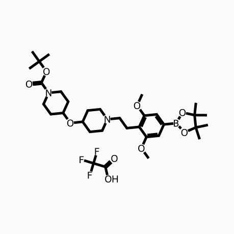 COc1cc(B2OC(C)(C)C(C)(C)O2)cc(OC)c1CCN1CCC(OC2CCN(C(=O)OC(C)(C)C)CC2)CC1.O=C(O)C(F)(F)F